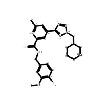 COc1cc(CNC(=O)c2cc(-c3nnn(CC4CCCNC4)n3)cc(C)n2)ccc1F